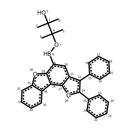 CC(C)(O)C(C)(C)OBc1cc2c(-c3ccccc3)c(-c3ccccc3)oc2c2c1oc1ccccc12